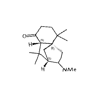 CNC1C[C@]23C[C@H]1C(C)(C)[C@@H]2C(=O)CCC3(C)C